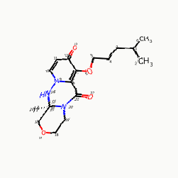 CC(C)CCCOc1c2n(ccc1=O)N[C@@H]1COCCN1C2=O